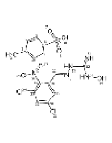 Cc1ccc(S(=O)(=O)O)cc1.N=C(NO)NN=Cc1cc(Cl)cc(Cl)c1[N+](=O)[O-]